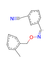 Cc1ccccc1CO/N=[C]\c1cccc(C#N)c1